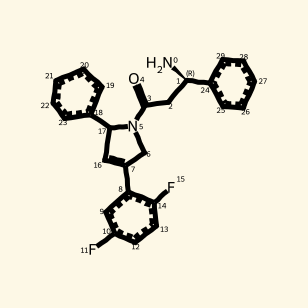 N[C@H](CC(=O)N1CC(c2cc(F)ccc2F)=CC1c1ccccc1)c1ccccc1